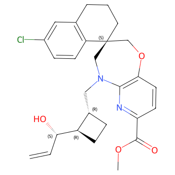 C=C[C@H](O)[C@@H]1CC[C@H]1CN1C[C@@]2(CCCc3cc(Cl)ccc32)COc2ccc(C(=O)OC)nc21